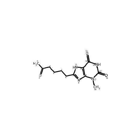 CC(=O)CCCCc1nc2c([nH]1)c(=O)[nH]c(=O)n2C